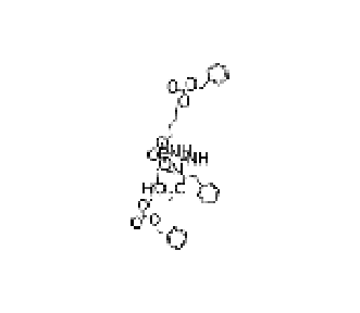 CN(C(=N)NP(=O)(OCCCCOC(=O)OCc1ccccc1)OCCCCOC(=O)OCc1ccccc1)C(Cc1ccccc1)C(=O)O